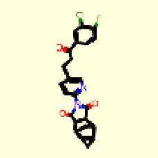 O=C(CCc1ccc(N2C(=O)C3C4C=CC(C5CC45)C3C2=O)nc1)c1ccc(F)c(Cl)c1